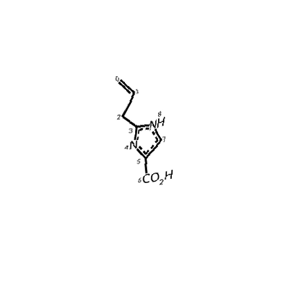 C=CCc1nc(C(=O)O)c[nH]1